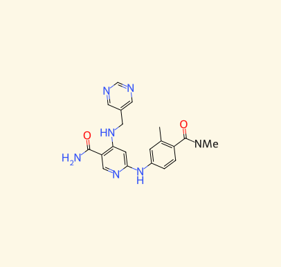 CNC(=O)c1ccc(Nc2cc(NCc3cncnc3)c(C(N)=O)cn2)cc1C